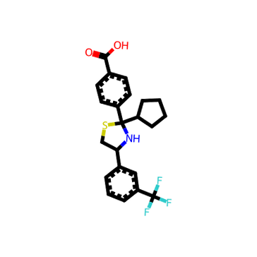 O=C(O)c1ccc(C2(C3CCCC3)NC(c3cccc(C(F)(F)F)c3)CS2)cc1